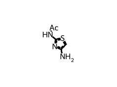 CC(=O)Nc1nc(N)cs1